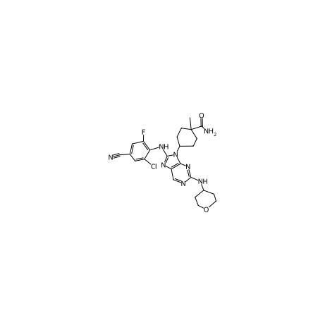 CC1(C(N)=O)CCC(n2c(Nc3c(F)cc(C#N)cc3Cl)nc3cnc(NC4CCOCC4)nc32)CC1